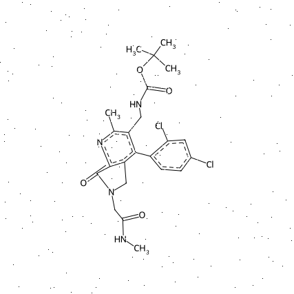 CNC(=O)CN1Cc2c(nc(C)c(CNC(=O)OC(C)(C)C)c2-c2ccc(Cl)cc2Cl)C1=O